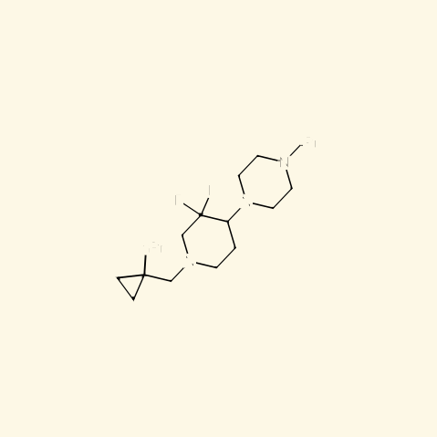 CCCC1(CN2CCC(N3CCN(C(C)C)CC3)C(F)(F)C2)CC1